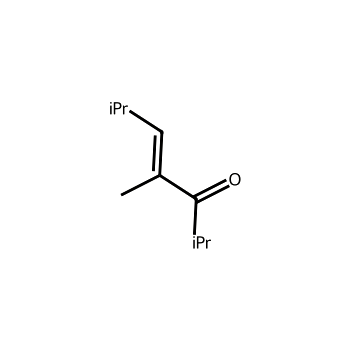 C/C(=C\C(C)C)C(=O)C(C)C